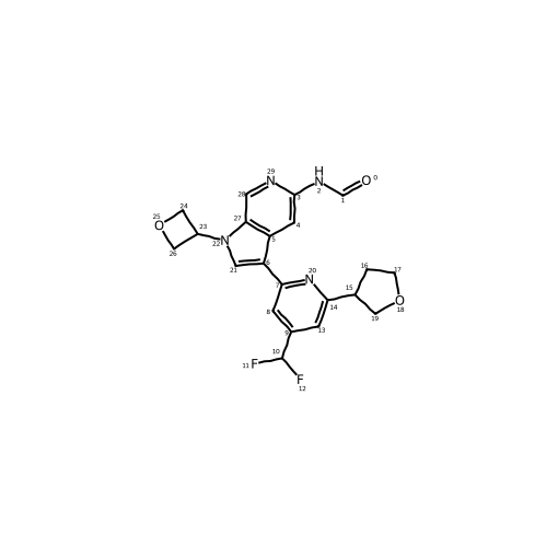 O=CNc1cc2c(-c3cc(C(F)F)cc(C4CCOC4)n3)cn(C3COC3)c2cn1